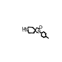 Cc1ccc(N2CC3(CCNCC3)CC2=O)cc1